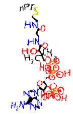 CCCSCCNC(=O)CCNC(=O)C(O)C(C)(C)COP(=O)(O)OP(=O)(O)OC[C@H]1O[C@@H](n2cnc3c(N)ncnc32)[C@@H](O)C1OP(=O)(O)O